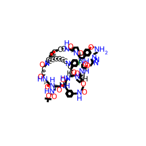 COc1ccc(C[C@@H]2NC(=O)C([C@@H](C)OCc3cn(CCN)nn3)NC(=O)[C@@H]3[C@@H]4CCN3C(=O)[C@@H]3Cc5cn(c6ccc(F)cc56)CCCCCCN(Cc5ccc(cc5)CCNC(=O)[C@]5(C)CCCN5C2=O)C(=O)CCC(=O)N[C@@H](C)C(=O)N[C@H](CNC(=O)OC(C)(C)C)C(=O)N[C@@H](Cc2cccc(c2)CNC(=O)CO4)C(=O)N3)cc1